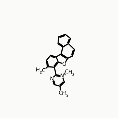 Cc1cnc(-c2c(C)ccc3c2oc2ccc4ccccc4c23)[n+](C)c1